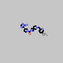 O=C(N1CC[C@H](c2ncn[nH]2)C1)N1CC2(CCN(Cc3ccc(C(F)(F)F)cn3)C2)C1